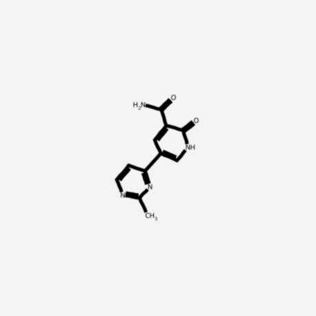 Cc1nccc(-c2c[nH]c(=O)c(C(N)=O)c2)n1